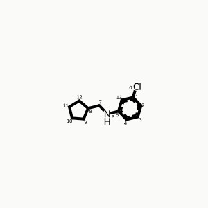 Clc1cccc(NCC2CCCC2)c1